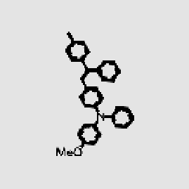 COc1ccc(N(c2ccccc2)c2ccc(/C=C(\c3ccccc3)c3ccc(C)cc3)cc2)cc1